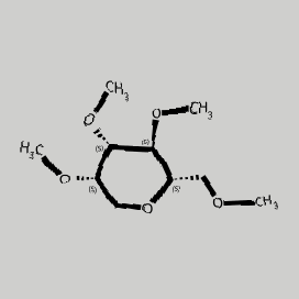 COC[C@@H]1OC[C@H](OC)[C@H](OC)[C@H]1OC